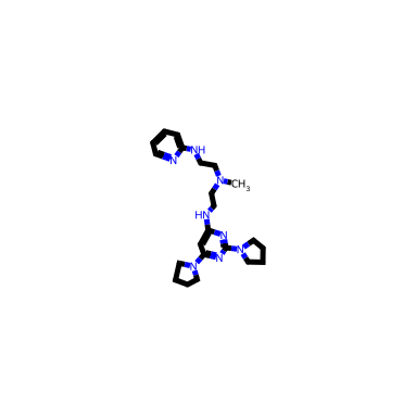 CN(CCNc1ccccn1)CCNc1cc(N2CCCC2)nc(N2CCCC2)n1